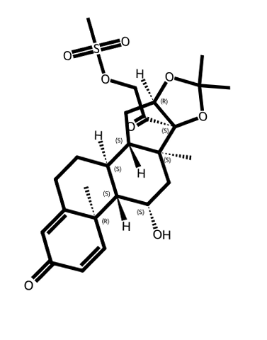 CC1(C)O[C@@H]2C[C@H]3[C@@H]4CCC5=CC(=O)C=C[C@]5(C)[C@H]4[C@@H](O)C[C@]3(C)[C@]2(C(=O)COS(C)(=O)=O)O1